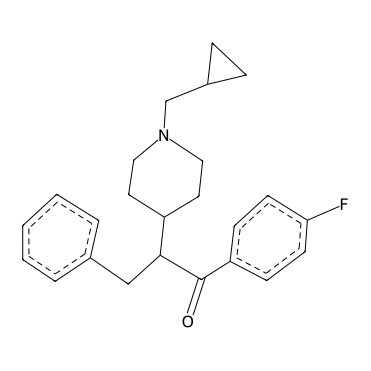 O=C(c1ccc(F)cc1)C(Cc1ccccc1)C1CCN(CC2CC2)CC1